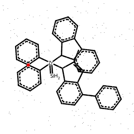 CC1=Cc2c(-c3ccccc3)cccc2[CH]1[Zr](=[SiH2])([c]1ccccc1)([c]1ccccc1)[CH]1c2ccccc2-c2ccccc21